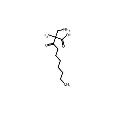 CCCCCCCC(=O)C(N)(CN)C(=O)O